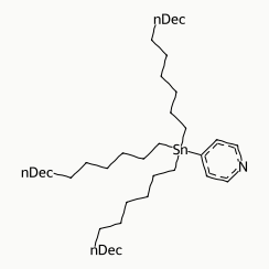 CCCCCCCCCCCCCCC[CH2][Sn]([CH2]CCCCCCCCCCCCCCC)([CH2]CCCCCCCCCCCCCCC)[c]1ccncc1